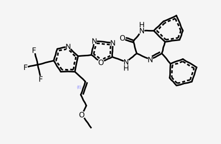 COC/C=C/c1cc(C(F)(F)F)cnc1-c1nnc(NC2N=C(c3ccccc3)c3ccccc3NC2=O)o1